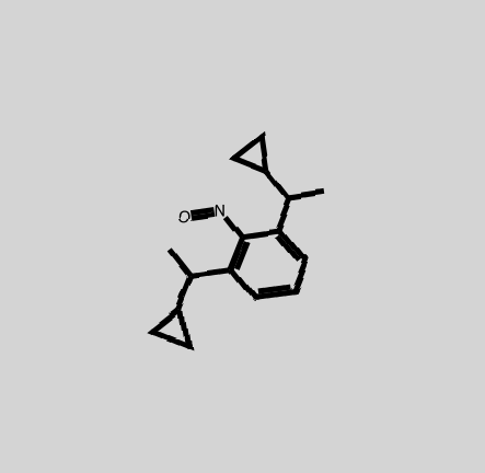 CC(c1cccc(C(C)C2CC2)c1N=O)C1CC1